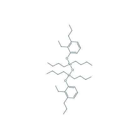 CCC[CH2][Sn]([CH2]CCC)([O]c1cccc(CCC)c1CC)[O][Sn]([CH2]CCC)([CH2]CCC)[O]c1cccc(CCC)c1CC